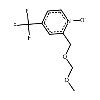 COCOCc1cc(C(F)(F)F)cc[n+]1[O-]